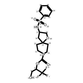 O=C(OC(CO)C(F)(F)F)N1CCC2(CC1)CC(NS(=O)(=O)c1ccccc1)CO2